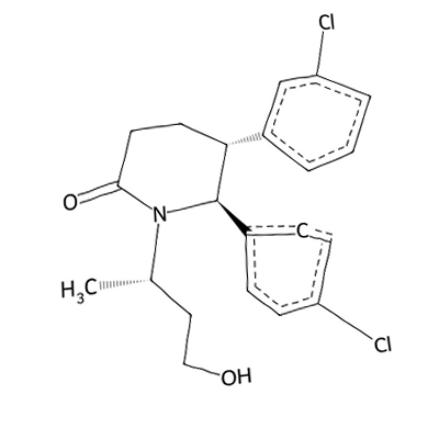 C[C@@H](CCO)N1C(=O)CC[C@H](c2cccc(Cl)c2)[C@H]1c1ccc(Cl)cc1